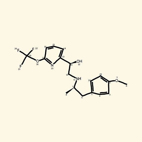 COc1ccc(C[C@@H](C)NC[C@H](O)c2cccc(OC(F)(F)F)n2)cc1